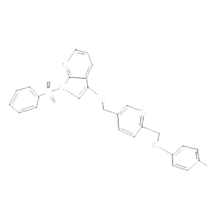 O=S(=O)(c1ccccc1)n1cc(OCc2ccc(CNc3ccc(Cl)cc3)nc2)c2cccnc21